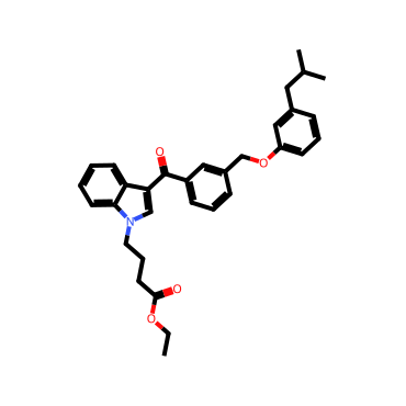 CCOC(=O)CCCn1cc(C(=O)c2cccc(COc3cccc(CC(C)C)c3)c2)c2ccccc21